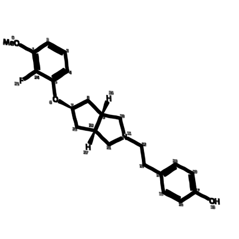 COc1cccc(O[C@H]2C[C@@H]3CN(CCc4ccc(O)cc4)C[C@@H]3C2)c1F